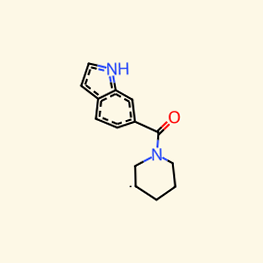 O=C(c1ccc2cc[nH]c2c1)N1C[CH]CCC1